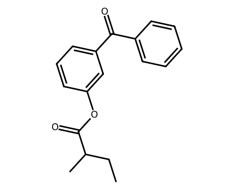 CCC(C)C(=O)Oc1cccc(C(=O)c2ccccc2)c1